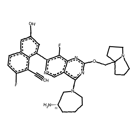 C#Cc1c(F)ccc2cc(O)cc(-c3ncc4c(N5CCCC[C@H](N)C5)nc(OCC56CCCN5CCC6)nc4c3F)c12